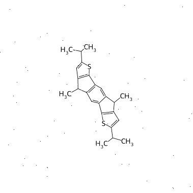 CC(C)c1cc2c(s1)-c1cc3c(cc1C2C)-c1sc(C(C)C)cc1C3C